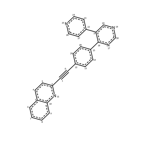 C(#Cc1ccc2ccccc2n1)c1ccc(-c2ncncc2-c2ccncc2)cc1